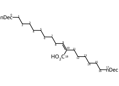 CCCCCCCCCCCCCCCCCC/C=C(/CCCCCCCCCCCCCCCC)C(=O)O